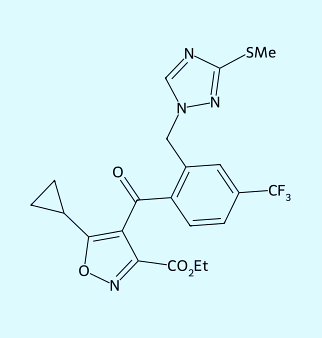 CCOC(=O)c1noc(C2CC2)c1C(=O)c1ccc(C(F)(F)F)cc1Cn1cnc(SC)n1